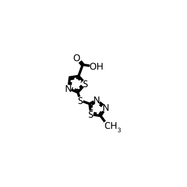 Cc1nnc(Sc2ncc(C(=O)O)s2)s1